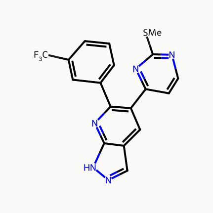 CSc1nccc(-c2cc3cn[nH]c3nc2-c2cccc(C(F)(F)F)c2)n1